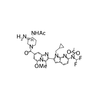 COc1cc(C(=O)N2CC[C@@H](NC(C)=O)[C@@H](N)C2)cc2nc(-c3cc4ccc(N(C(F)F)S(C)(=O)=O)nc4n3CC3CC3)c(C)n12